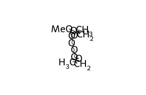 C=C(C)C(=O)OCCOCCOCCOCC(OC)OC(=O)C(=C)C